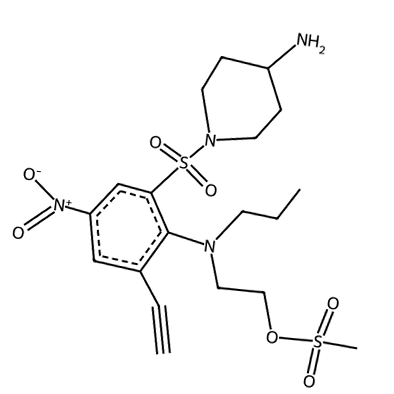 C#Cc1cc([N+](=O)[O-])cc(S(=O)(=O)N2CCC(N)CC2)c1N(CCC)CCOS(C)(=O)=O